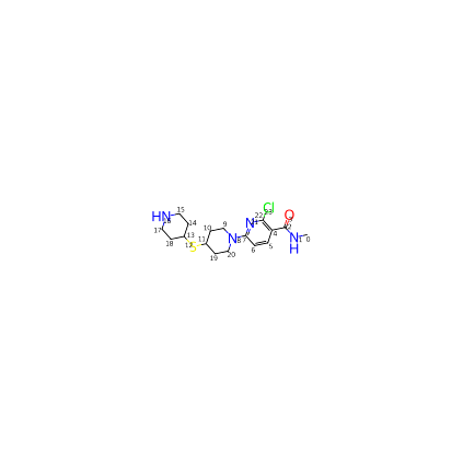 CNC(=O)c1ccc(N2CCC(SC3CCNCC3)CC2)nc1Cl